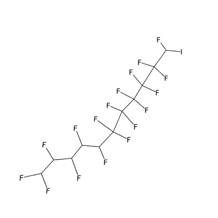 FC(F)C(F)C(F)C(F)C(F)C(F)(F)C(F)(F)C(F)(F)C(F)(F)C(F)(F)C(F)I